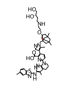 Cc1ccc2sc(Nc3nnc4c(c3C)CCCN4c3ccc(-c4cnn(CC56CC7(C)CC(C)(C5)CC(OCCNCC[C@H](O)CO)(C7)C6)c4C)c(C(=O)O)n3)nc2c1